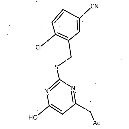 CC(=O)Cc1cc(O)nc(SCc2cc(C#N)ccc2Cl)n1